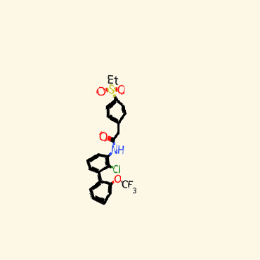 CCS(=O)(=O)c1ccc(CC(=O)Nc2cccc(-c3ccccc3OC(F)(F)F)c2Cl)cc1